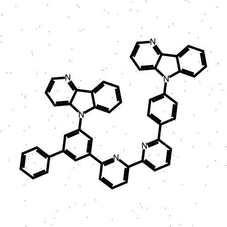 c1ccc(-c2cc(-c3cccc(-c4cccc(-c5ccc(-n6c7ccccc7c7ncccc76)cc5)n4)n3)cc(-n3c4ccccc4c4ncccc43)c2)cc1